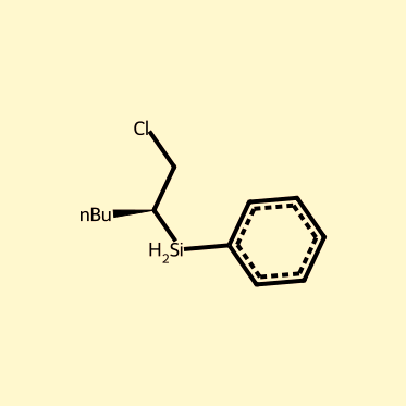 CCCC[C@@H](CCl)[SiH2]c1ccccc1